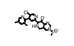 Cc1cnc(-c2cc(C3NCC4=CN([S+](C)[O-])CN=C4C3=O)ncc2Cl)c(C)c1